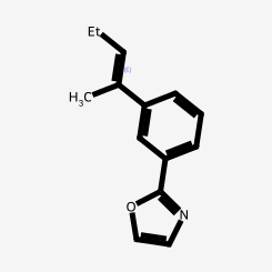 CC/C=C(\C)c1cccc(-c2ncco2)c1